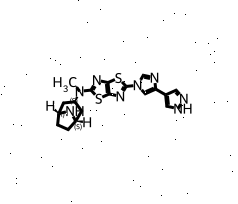 CN(c1nc2sc(-n3cnc(-c4cn[nH]c4)c3)nc2s1)[C@@H]1C[C@H]2CC[C@@H](C1)N2